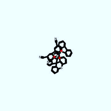 N#Cc1ccc2c(c1)c1cc(C#N)ccc1n2-c1cccc2c1C1(c3ccccc3S2)c2cccnc2-c2ncc(-n3c4ccccc4c4ccccc43)cc21